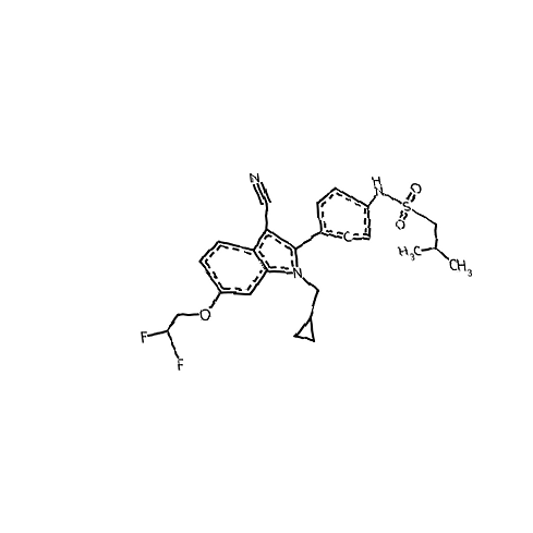 CC(C)CS(=O)(=O)Nc1ccc(-c2c(C#N)c3ccc(OCC(F)F)cc3n2CC2CC2)cc1